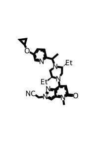 CC[C@H]1CN(C(C)c2ccc(OC3CC3)cn2)[C@H](CC)CN1c1cc(=O)n(C)c2cn(CC#N)nc12